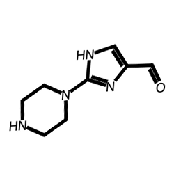 O=Cc1c[nH]c(N2CCNCC2)n1